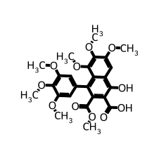 COC(=O)c1c(C(=O)O)c(O)c2cc(OC)c(OC)c(OC)c2c1-c1cc(OC)c(OC)c(OC)c1